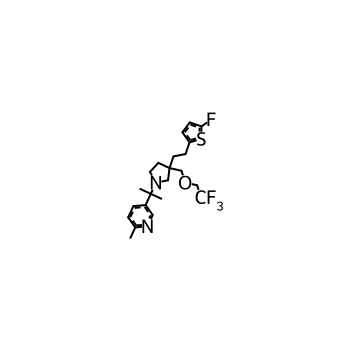 Cc1ccc(C(C)(C)N2CCC(CCc3ccc(F)s3)(COCC(F)(F)F)C2)cn1